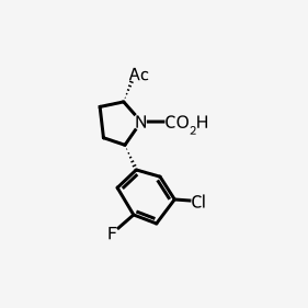 CC(=O)[C@H]1CC[C@@H](c2cc(F)cc(Cl)c2)N1C(=O)O